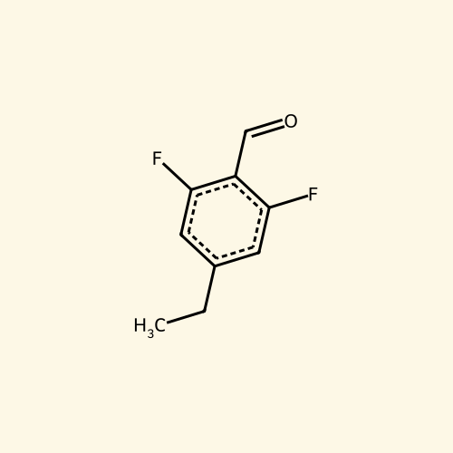 CCc1cc(F)c(C=O)c(F)c1